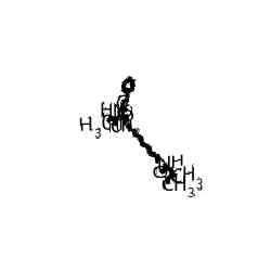 CCC(C)[CH]C(=O)NCCCCCCCCCCNC(=O)C(NC(=O)OCc1ccccc1)C(C)CC